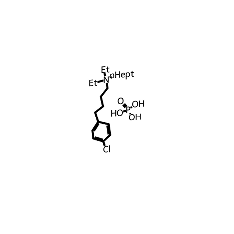 CCCCCCC[N+](CC)(CC)CCCCc1ccc(Cl)cc1.O=P(O)(O)O